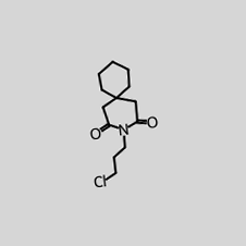 O=C1CC2(CCCCC2)CC(=O)N1CCCCl